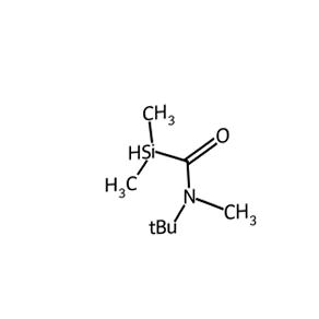 CN(C(=O)[SiH](C)C)C(C)(C)C